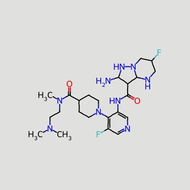 CN(C)CCN(C)C(=O)C1CCN(c2c(F)cncc2NC(=O)C2C(N)NN3CC(F)CNC23)CC1